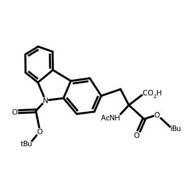 CCC(C)OC(=O)C(Cc1ccc2c(c1)c1ccccc1n2C(=O)OC(C)(C)C)(NC(C)=O)C(=O)O